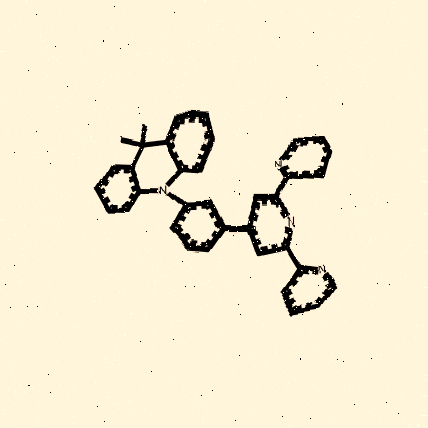 CC1(C)c2ccccc2N(c2cccc(-c3cc(-c4ccccn4)nc(-c4ccccn4)c3)c2)c2ccccc21